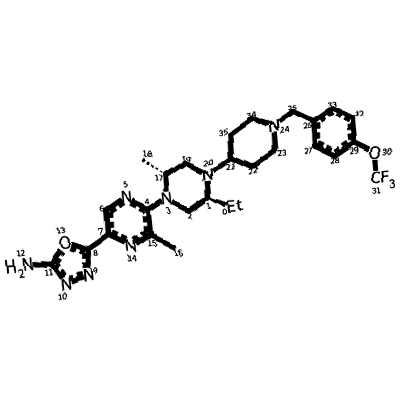 CC[C@H]1CN(c2ncc(-c3nnc(N)o3)nc2C)[C@H](C)CN1C1CCN(Cc2ccc(OC(F)(F)F)cc2)CC1